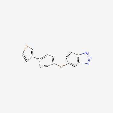 c1cc(-c2ccc(Sc3ccc4[nH]nnc4c3)cc2)cs1